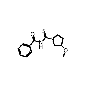 CO[C@@H]1CCN(C(=S)NC(=O)c2ccccc2)C1